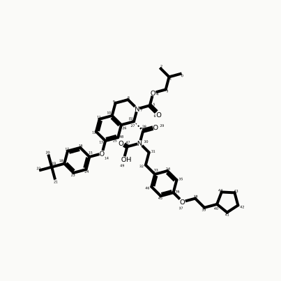 CC(C)COC(=O)N1CCc2ccc(Oc3ccc(C(C)(C)C)cc3)cc2[C@H]1C(=O)N(CCc1ccc(OCCC2CCCC2)cc1)C(=O)O